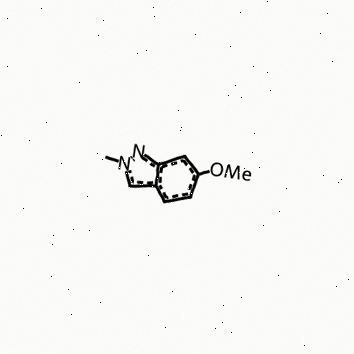 COc1ccc2cn(C)nc2c1